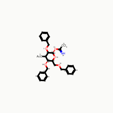 CC(=O)OC1C(OCc2ccccc2)[C@@H](OC(=N)C(Cl)(Cl)Cl)OC(COCc2ccccc2)[C@H]1OCc1ccccc1